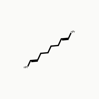 CCCC=CCCCCC=CCCC